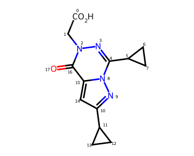 O=C(O)Cn1nc(C2CC2)n2nc(C3CC3)cc2c1=O